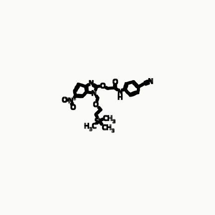 C[Si](C)(C)CCOCn1c(OCC(=O)Nc2ccc(C#N)cc2)nc2ccc([N+](=O)[O-])cc21